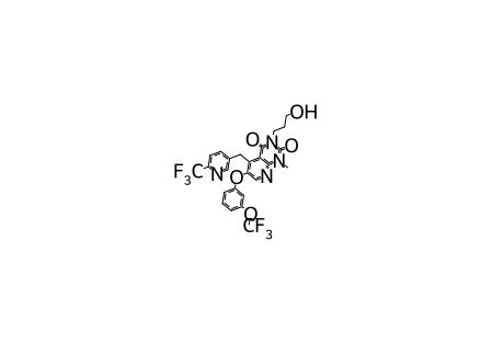 Cn1c(=O)n(CCCO)c(=O)c2c(Cc3ccc(C(F)(F)F)nc3)c(Oc3cccc(OC(F)(F)F)c3)cnc21